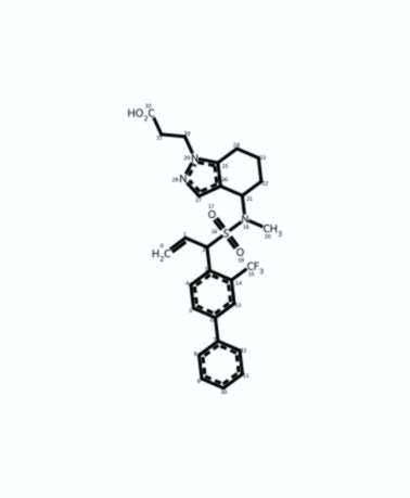 C=CC(c1ccc(-c2ccccc2)cc1C(F)(F)F)S(=O)(=O)N(C)C1CCCc2c1cnn2CCC(=O)O